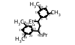 [CH2]CCC(CC(CC)c1cc(C)cc(C)c1)c1cc(C)cc(C)c1